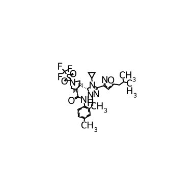 Cc1ccc(NC(=O)[C@H]2CN(S(=O)(=O)C(F)(F)F)C[C@@H]2C2NN=C(c3cc(CC(C)C)on3)N2C2CC2)c(C)c1